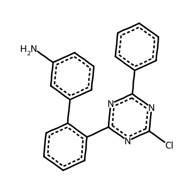 Nc1cccc(-c2ccccc2-c2nc(Cl)nc(-c3ccccc3)n2)c1